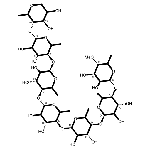 CO[C@@H]1C(C)O[C@H](O[C@@H]2C(C)O[C@H](O[C@@H]3C(C)O[C@H](O[C@@H]4C(C)O[C@@H](O[C@@H]5C(C)O[C@H](O[C@@H]6C(C)O[C@@H](O[C@@H]7C(C)OCC(O)[C@H]7O)C(O)[C@H]6O)C(O)[C@H]5O)C(O)[C@H]4O)C(O)[C@H]3O)C(O)[C@H]2O)C(O)[C@H]1O